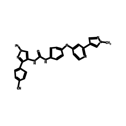 CC(C)n1cc(NC(=O)Nc2ccc(Oc3ccnc(-c4cnn(C)c4)c3)cc2)c(-c2ccc(C#N)cc2)n1